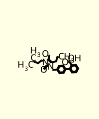 CCCc1c(C=O)n(CCC(C)C)c(=O)n1Cc1ccc(-c2ccccc2C(=O)O)cc1